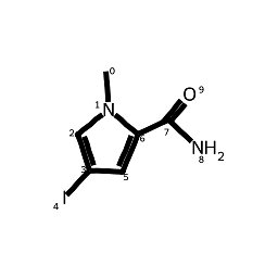 Cn1cc(I)cc1C(N)=O